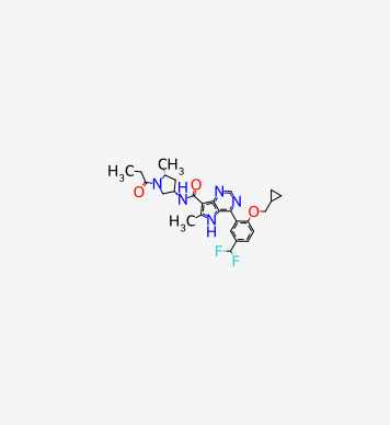 CCC(=O)N1C[C@H](NC(=O)c2c(C)[nH]c3c(-c4cc(C(F)F)ccc4OCC4CC4)ncnc23)C[C@H]1C